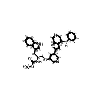 CC(C)(C)OC(=O)N[C@H](COc1cncc(-c2cc3c(Nc4ccccc4)cncc3s2)c1)Cc1c[nH]c2ccccc12